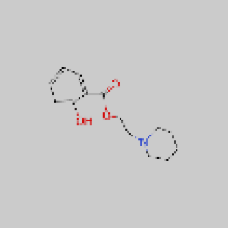 O=C(OCCN1CCCCC1)c1ccccc1O